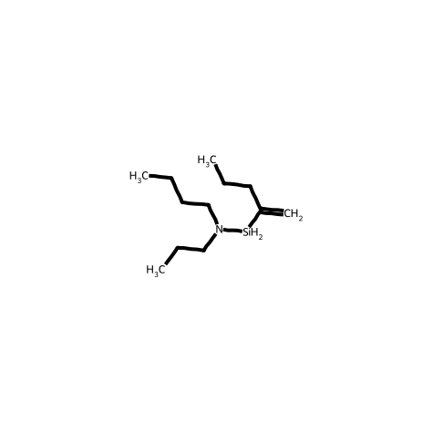 C=C(CCC)[SiH2]N(CCC)CCCC